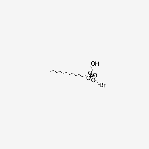 CCCCCCCCCCCCOP(=O)(OCCO)OCCBr